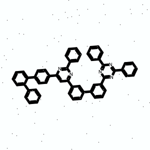 c1ccc(-c2nc(-c3ccc(-c4ccccc4-c4ccccc4)cc3)cc(-c3cccc(-c4cccc(-c5nc(-c6ccccc6)nc(-c6ccccc6)n5)c4)c3)n2)cc1